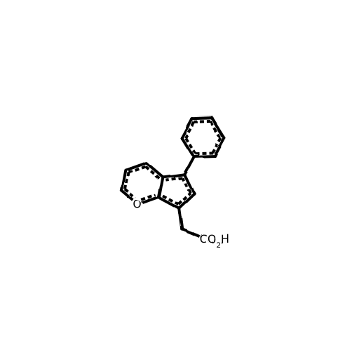 O=C(O)Cc1cc(-c2ccccc2)c2cccoc1-2